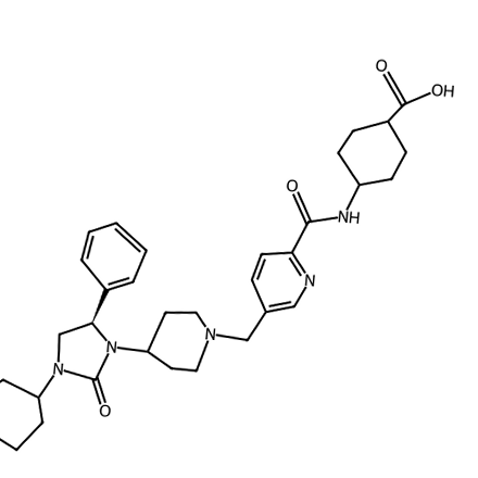 O=C(NC1CCC(C(=O)O)CC1)c1ccc(CN2CCC(N3C(=O)N(C4CCCCC4)C[C@H]3c3ccccc3)CC2)cn1